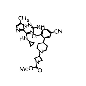 COC(=O)N1CC(N2CCC(c3cc(C#N)cc(Nc4nc(NC5CC5)c5ncc(C)n5n4)c3Cl)CC2)C1